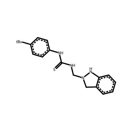 CC(C)(C)c1ccc(NC(=S)NCN2Cc3ccccc3N2)cc1